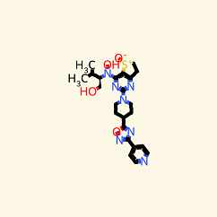 CC(C)[C@H](CO)N(O)c1nc(N2CCC(c3nc(-c4ccncc4)no3)CC2)nc2c1[S+]([O-])CC2